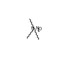 C=CC(N)=O.CCCCCCCCP(CCCCCCCC)CCCCCCCC